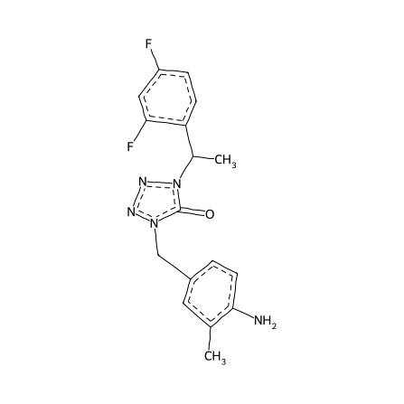 Cc1cc(Cn2nnn(C(C)c3ccc(F)cc3F)c2=O)ccc1N